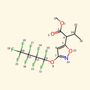 COC(=O)C(c1cc(OC(F)(F)C(F)(F)C(F)(F)C(F)(F)F)no1)C(C)C